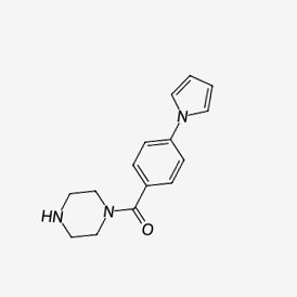 O=C(c1ccc(-n2cccc2)cc1)N1CCNCC1